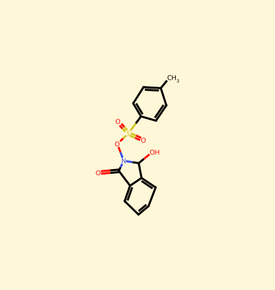 Cc1ccc(S(=O)(=O)ON2C(=O)c3ccccc3C2O)cc1